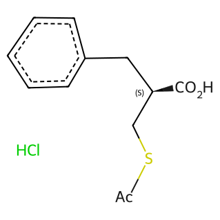 CC(=O)SC[C@@H](Cc1ccccc1)C(=O)O.Cl